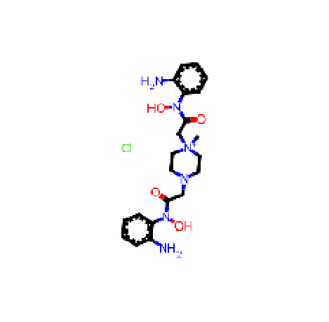 C[N+]1(CC(=O)N(O)c2ccccc2N)CCN(CC(=O)N(O)c2ccccc2N)CC1.[Cl-]